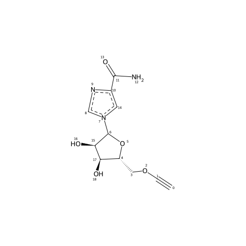 C#COC[C@H]1OC(n2cnc(C(N)=O)c2)[C@H](O)[C@@H]1O